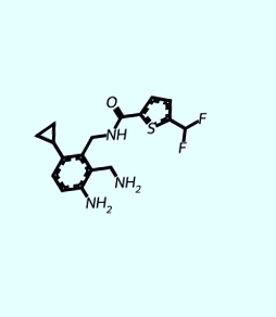 NCc1c(N)ccc(C2CC2)c1CNC(=O)c1ccc(C(F)F)s1